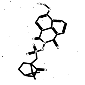 CCCCCCCCSc1ccc2c3c(cccc13)C(=O)N(OS(=O)(=O)CC13CCC(CC1=O)C3(C)C)C2=O